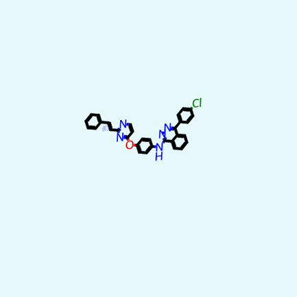 Clc1ccc(-c2nnc(Nc3ccc(Oc4ccnc(/C=C/c5ccccc5)n4)cc3)c3ccccc23)cc1